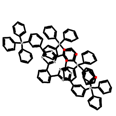 c1ccc([Si](c2ccccc2)(c2ccccc2)c2cccc(-c3nc(-c4cccc([Si](c5ccccc5)(c5ccccc5)c5ccccc5)c4)nc(-c4ccccc4-c4nc(-c5cccc([Si](c6ccccc6)(c6ccccc6)c6ccccc6)c5)nc(-c5cccc([Si](c6ccccc6)(c6ccccc6)c6ccccc6)c5)n4)n3)c2)cc1